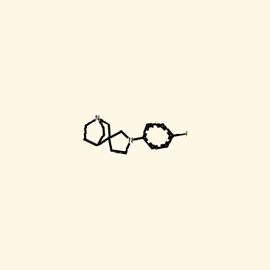 Ic1ccc(N2CCC3(CN4CCC3CC4)C2)cc1